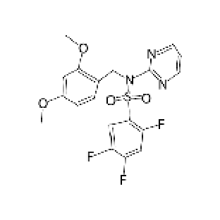 COc1ccc(CN(c2ncccn2)S(=O)(=O)c2cc(F)c(F)cc2F)c(OC)c1